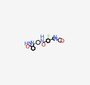 O=C(N[C@H]1CC[C@H](c2n[nH]c(=O)c3ccccc32)CC1)c1ccc(-c2cnn(C3CCOCC3)c2)c(F)c1